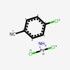 N.N#Cc1ccc(Cl)cc1.[Cl][Pt][Cl]